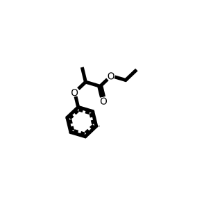 CCOC(=O)C(C)Oc1c[c]ccc1